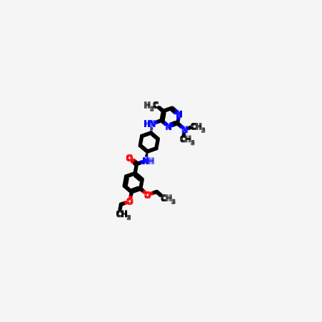 CCOc1ccc(C(=O)N[C@H]2CC[C@@H](Nc3nc(N(C)C)ncc3C)CC2)cc1OCC